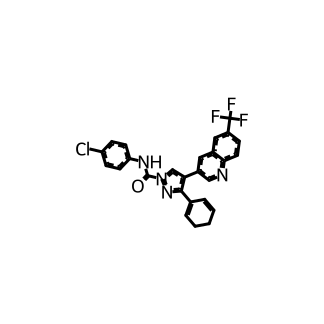 O=C(Nc1ccc(Cl)cc1)n1cc(-c2cnc3ccc(C(F)(F)F)cc3c2)c(C2=CCCC=C2)n1